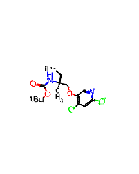 CC(C)CC(C)(COc1cnc(Cl)cc1Cl)NC(=O)OC(C)(C)C